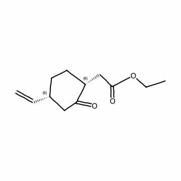 C=C[C@@H]1CC[C@H](CC(=O)OCC)C(=O)C1